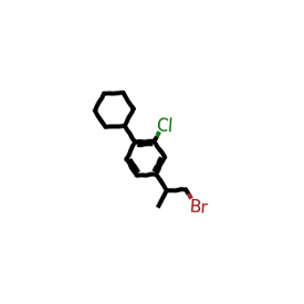 CC(CBr)c1ccc(C2CCCCC2)c(Cl)c1